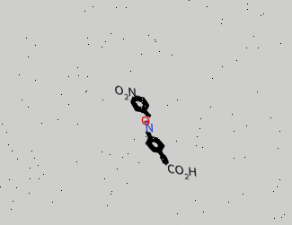 O=C(O)C#Cc1ccc(/C=N/OCc2ccc([N+](=O)[O-])cc2)cc1